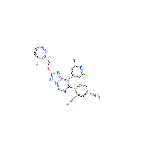 Cc1cc(-c2c(-c3ccc(N)cc3C#N)ncn3nc(OCc4ncccc4C)nc23)cc(C)n1